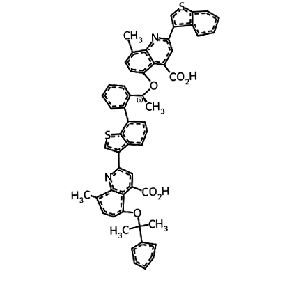 Cc1ccc(O[C@@H](C)c2ccccc2-c2cccc3c(-c4cc(C(=O)O)c5c(OC(C)(C)c6ccccc6)ccc(C)c5n4)csc23)c2c(C(=O)O)cc(-c3csc4ccccc34)nc12